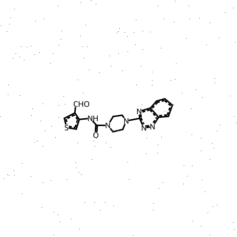 O=Cc1cscc1NC(=O)N1CCN(c2nnc3ccccc3n2)CC1